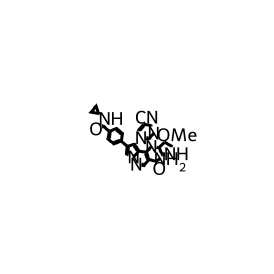 COC1CNCC1N(c1ncc(C#N)cn1)c1c(C(N)=O)cnn2cc(-c3ccc(C(=O)NC4CC4)cc3)cc12